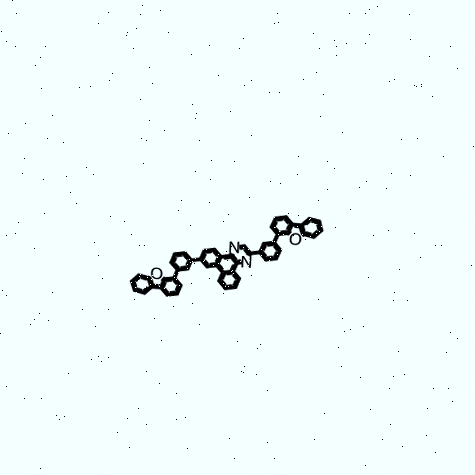 c1cc(-c2ccc3c(c2)c2ccccc2c2nc(-c4cccc(-c5cccc6c5oc5ccccc56)c4)cnc32)cc(-c2cccc3c2oc2ccccc23)c1